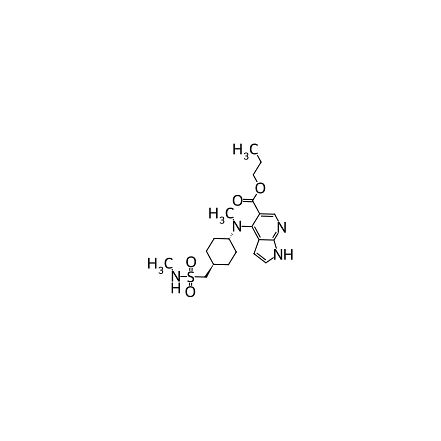 CCCOC(=O)c1cnc2[nH]ccc2c1N(C)[C@H]1CC[C@H](CS(=O)(=O)NC)CC1